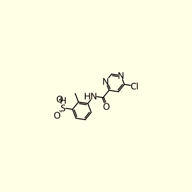 Cc1c(NC(=O)c2cc(Cl)ncn2)cccc1[SH](=O)=O